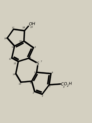 O=C(O)c1ccc2c(c1)Sc1cc3c(cc1CC2)CCC3O